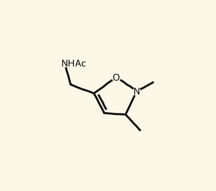 CC(=O)NCC1=CC(C)N(C)O1